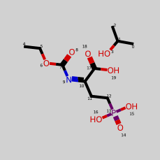 CC(C)O.CCOC(=O)N=C(CCP(=O)(O)O)C(=O)O